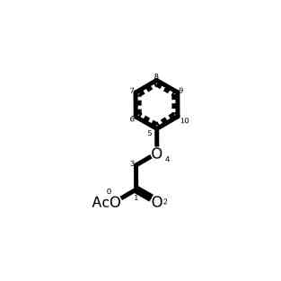 [CH2]C(=O)OC(=O)COc1ccccc1